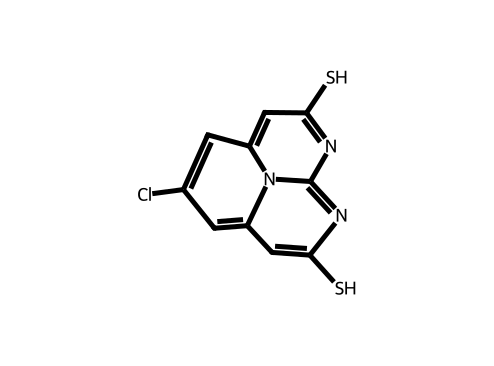 SC1=CC2=CC(Cl)=CC3=CC(S)=NC(=N1)N23